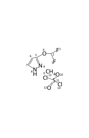 C.FC(F)Oc1cc[nH]n1.O=S(=O)(Cl)Cl